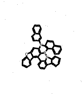 c1ccc2cc(N3c4cc5oc6ccccc6c5c5c4B(c4c3ccc3ccccc43)n3c4ccccc4c4cccc-5c43)ccc2c1